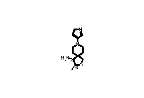 C[C@@H]1OCC2(CCN(C3=CCN=C3)CC2)[C@@H]1N